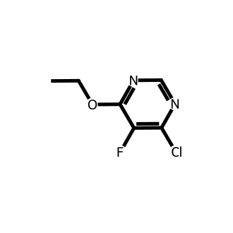 CCOc1ncnc(Cl)c1F